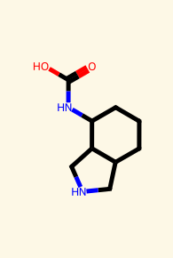 O=C(O)NC1CCCC2CNCC21